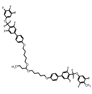 CCCC(OCCCCCOc1ccc(-c2cc(F)c(C(F)(F)Oc3cc(F)c(C)c(F)c3)c(F)c2)cc1)OCCCCCOc1ccc(-c2cc(F)c(C(F)(F)Oc3cc(F)c(F)c(F)c3)c(F)c2)cc1